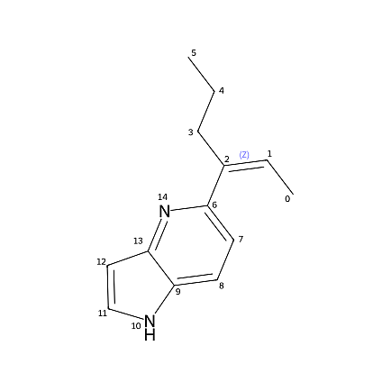 C/C=C(/CCC)c1ccc2[nH]ccc2n1